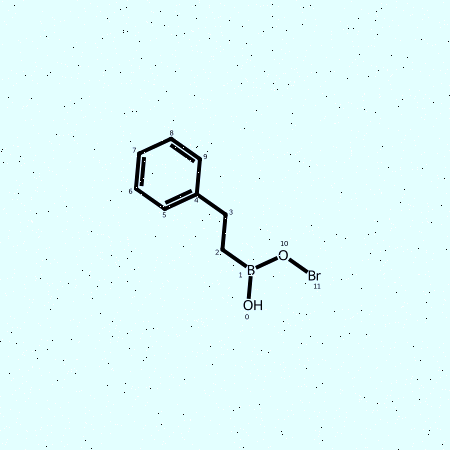 OB(CCc1ccccc1)OBr